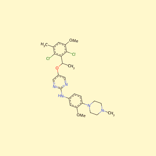 COc1cc(Nc2ncc(OC(C)c3c(Cl)c(C)cc(OC)c3Cl)cn2)ccc1N1CCN(C)CC1